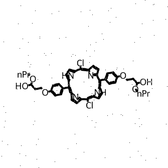 CCCOC(O)CCOc1ccc(-c2c3nc(c(Cl)c4ccc([nH]4)c(-c4ccc(OCCC(O)OCCC)cc4)c4nc(c(Cl)c5ccc2[nH]5)C=C4)C=C3)cc1